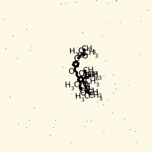 CCC(C)(C)c1cc(C=CC(=O)c2ccc(OCOC(=O)C(C)(C)C)cc2)c(OC(C)C)c(C(C)(C)CC)c1OCOC(=O)C(C)(C)C